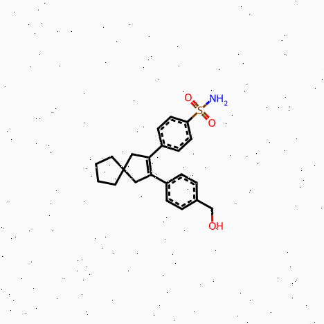 NS(=O)(=O)c1ccc(C2=C(c3ccc(CO)cc3)CC3(CCCC3)C2)cc1